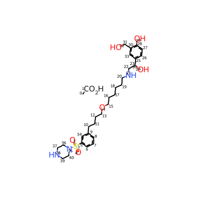 CC(=O)O.O=S(=O)(c1cccc(CCCCOCCCCCCNC[C@H](O)c2ccc(O)c(CO)c2)c1)N1CCNCC1